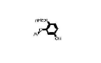 CCCCCCCc1ccc(O)cc1OC(C)C